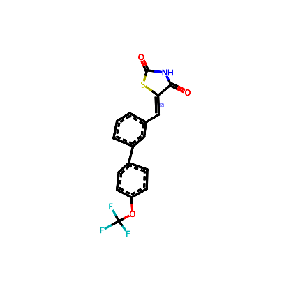 O=C1NC(=O)/C(=C/c2cccc(-c3ccc(OC(F)(F)F)cc3)c2)S1